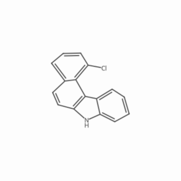 Clc1cccc2ccc3[nH]c4ccccc4c3c12